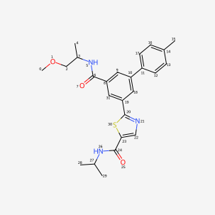 COCC(C)NC(=O)c1cc(-c2ccc(C)cc2)cc(-c2ncc(C(=O)NC(C)C)s2)c1